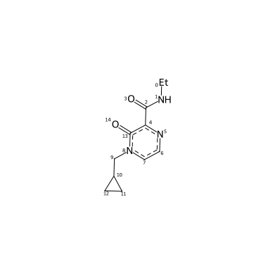 CCNC(=O)c1nccn(CC2CC2)c1=O